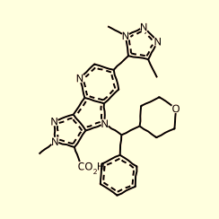 Cc1nnn(C)c1-c1cnc2c3nn(C)c(C(=O)O)c3n(C(c3ccccc3)C3CCOCC3)c2c1